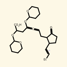 CC/C=C/C1CCC(=O)C1CC=C=C(CC(OC1CCCCO1)C(=O)O)OC1CCCCO1